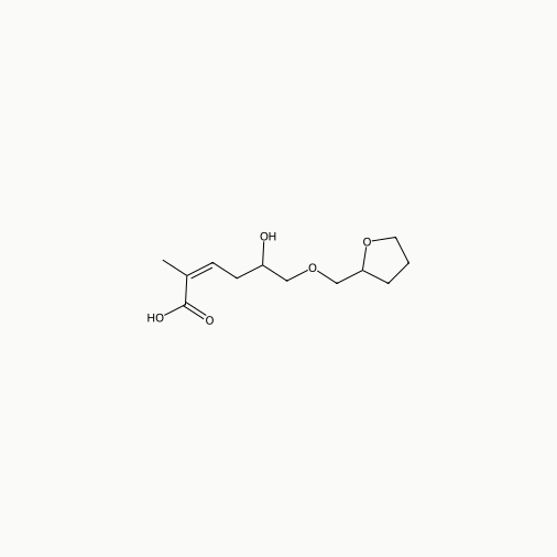 CC(=CCC(O)COCC1CCCO1)C(=O)O